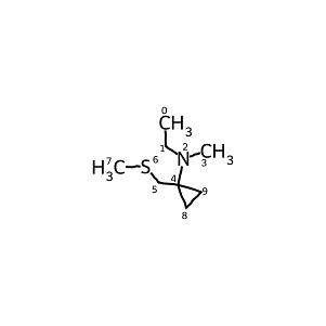 CCN(C)C1(CSC)CC1